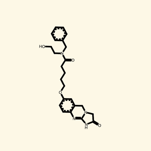 O=C1CN2Cc3cc(OCCCCC(=O)N(CCO)Cc4ccccc4)ccc3N=C2N1